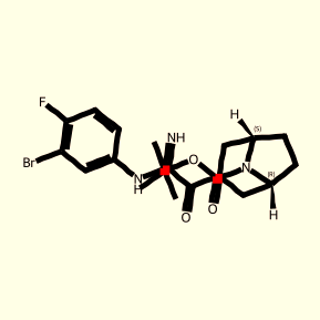 CC(C)(C)OC(=O)N1[C@@H]2CC[C@H]1CC(C(=O)C(=N)Nc1ccc(F)c(Br)c1)C2